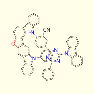 N#Cc1cc(-c2nc(-c3ccccc3)nc(-n3c4ccccc4c4ccccc43)n2)ccc1-n1c2ccccc2c2ccc3oc4cc5c6ccccc6n(-c6ccccc6)c5cc4c3c21